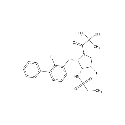 CCS(=O)(=O)N[C@H]1[C@@H](F)CN(C(=O)C(C)(C)O)[C@H]1Cc1cccc(-c2ccccc2)c1F